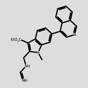 CCOC(=O)c1c(CNC=N)n(C)c2cc(-c3cncc4ccccc34)ccc12